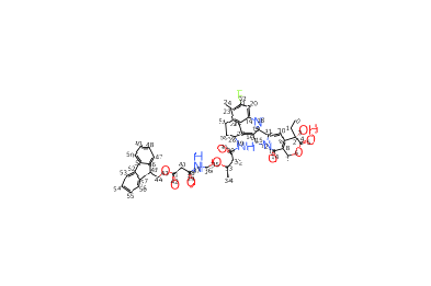 CC[C@@]1(O)C(=O)OCc2c1cc1n(c2=O)Cc2c-1nc1cc(F)c(C)c3c1c2[C@@H](NC(=O)C[C@@H](C)OCNC(=O)CC(=O)OCC1c2ccccc2-c2ccccc21)CC3